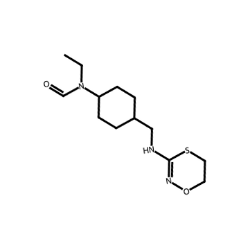 CCN(C=O)C1CCC(CNC2=NOCCS2)CC1